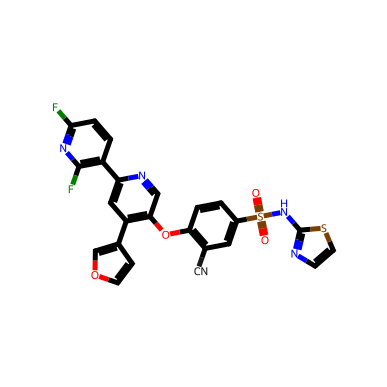 N#Cc1cc(S(=O)(=O)Nc2nccs2)ccc1Oc1cnc(-c2ccc(F)nc2F)cc1-c1ccoc1